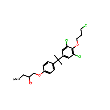 COCC(O)COc1ccc(C(C)(C)c2cc(Cl)c(OCCCCl)c(Cl)c2)cc1